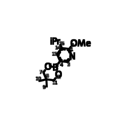 COc1ncc(B2OCC(C)(C)CO2)cc1C(C)C